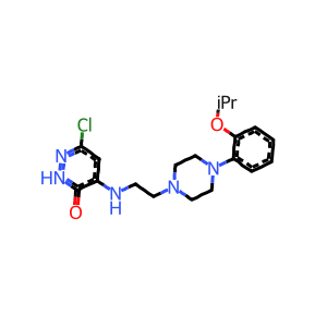 CC(C)Oc1ccccc1N1CCN(CCNc2cc(Cl)n[nH]c2=O)CC1